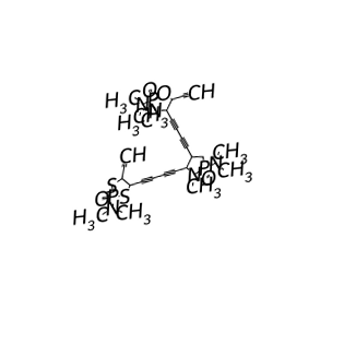 C#CC1OP(=O)(N(C)C)N(C)C1C#CC#CC1CP(=O)(N(C)C)N(C)C1C#CC#CC1SP(=O)(N(C)C)SC1C#C